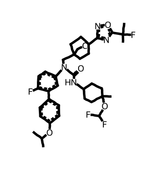 CC(C)Oc1ccc(-c2cc(N(CC34CCC(c5noc(C(C)(C)F)n5)(CC3)CC4)C(=O)NC3CCC(C)(OC(F)F)CC3)ccc2F)cc1